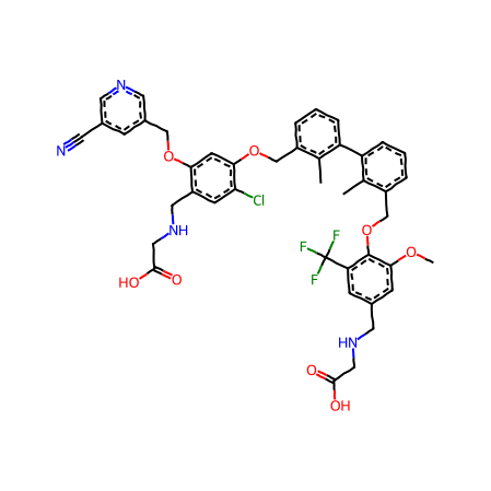 COc1cc(CNCC(=O)O)cc(C(F)(F)F)c1OCc1cccc(-c2cccc(COc3cc(OCc4cncc(C#N)c4)c(CNCC(=O)O)cc3Cl)c2C)c1C